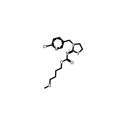 COCCCCOC(=O)/N=C1\SCCN1Cc1ccc(Cl)nc1